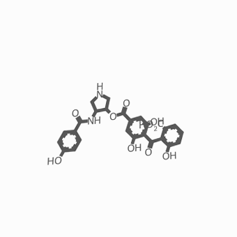 O=C(NC1CNCC1OC(=O)c1cc(O)c(C(=O)c2c(O)cccc2C(=O)O)c(O)c1)c1ccc(O)cc1